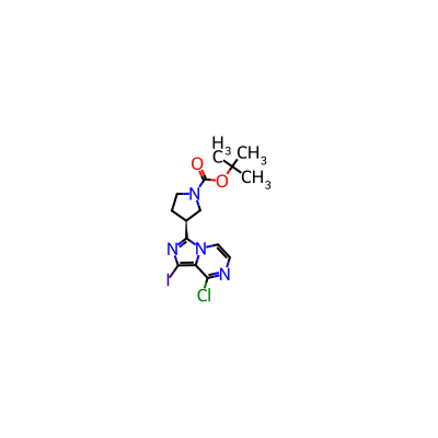 CC(C)(C)OC(=O)N1CC[C@H](c2nc(I)c3c(Cl)nccn23)C1